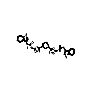 C=C(Cc1cn(C)c2ccccc12)Nc1nnc(C2CCCC(c3nnc(NC(=O)Cc4cn(C)c5ccccc45)s3)C2)s1